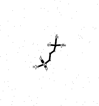 CCCCC([CH]CCS(N)(=O)=O)(CC)CC